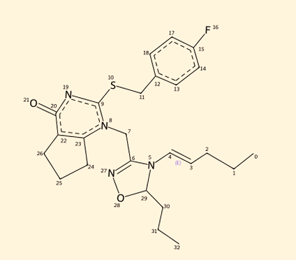 CCC/C=C/N1C(Cn2c(SCc3ccc(F)cc3)nc(=O)c3c2CCC3)=NOC1CCC